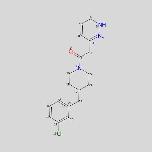 O=C(CC1=NNCC=C1)N1CCC(Cc2cccc(Cl)c2)CC1